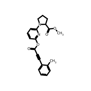 COC(=O)C1CCCN1c1cccc(OC(=O)C#Cc2ccccc2C)n1